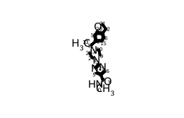 CNC(=O)c1cnc(N2CCN(C(C)c3ccc4c(c3)OCC4)CC2)nc1